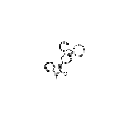 Cn1c(=O)n(C2CCN(C3(c4ccccc4)CCCCCC3)CC2)c2ccccc21